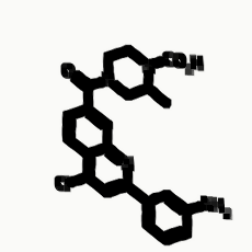 CC1CN(C(=O)c2ccc3c(Cl)cc(-c4cccc(N)c4)nc3c2)CCN1C(=O)O